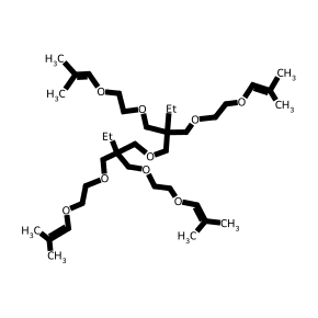 CCC(COCCOC=C(C)C)(COCCOC=C(C)C)COCC(CC)(COCCOC=C(C)C)COCCOC=C(C)C